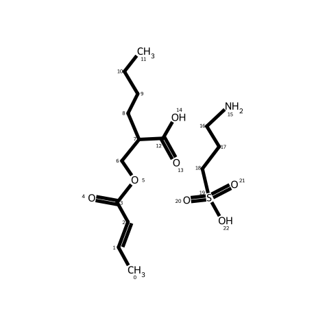 CC=CC(=O)OCC(CCCC)C(=O)O.NCCCS(=O)(=O)O